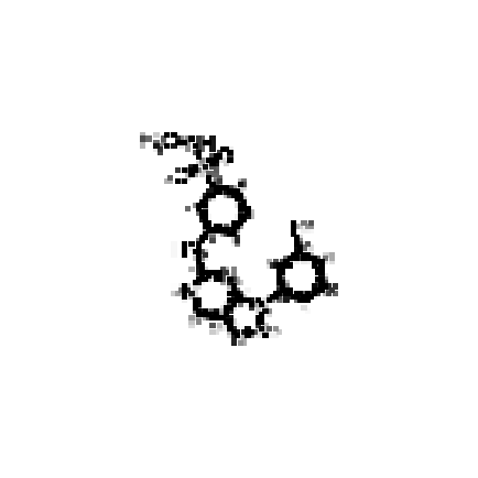 CNS(=O)(=O)c1cccc(Nc2ncc3nnn(-c4cccc(F)c4)c3n2)c1